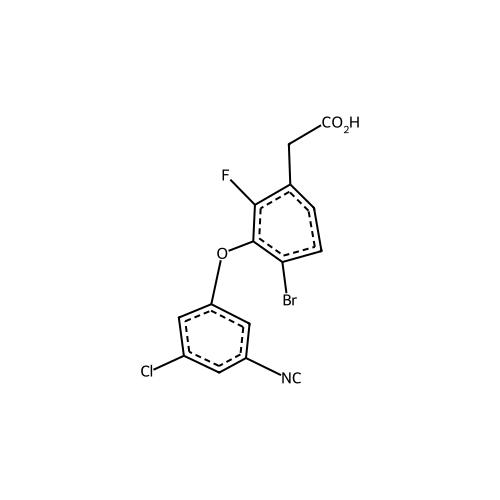 [C-]#[N+]c1cc(Cl)cc(Oc2c(Br)ccc(CC(=O)O)c2F)c1